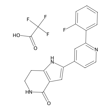 O=C(O)C(F)(F)F.O=C1NCCc2[nH]c(-c3ccnc(-c4ccccc4F)c3)cc21